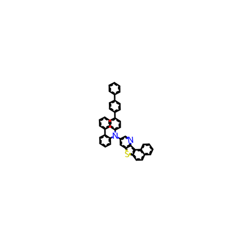 c1ccc(-c2ccc(-c3ccc(N(c4cnc5c(c4)sc4ccc6ccccc6c45)c4ccccc4-c4ccccc4)cc3)cc2)cc1